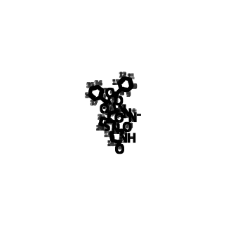 [N-]=[N+]=N[C@]1(COC(=O)c2ccccc2)O[C@@H](n2ccc(=O)[nH]c2=O)[C@@]2(CCS2)[C@@H]1OC(=O)c1ccccc1